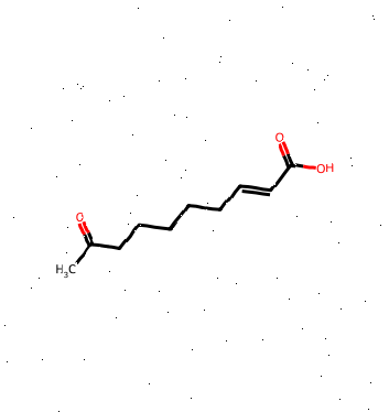 CC(=O)CCCCCC=CC(=O)O